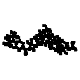 [2H]C([2H])([2H])C(N1CCN(C(=O)[C@H]2C[C@@H](NC(=O)[C@]34CC[C@@H](C(=C)C)[C@@H]3[C@H]3CC[C@@H]5[C@@]6(C)CC[C@H](OC(C)=O)C(C)(C)[C@@H]6CC[C@@]5(C)[C@]3(C)CC4)C2(C)C)CC1)C([2H])([2H])[2H]